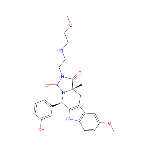 COCCNCCN1C(=O)N2[C@H](c3cccc(O)c3)c3[nH]c4ccc(OC)cc4c3C[C@@]2(C)C1=O